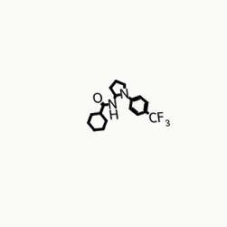 O=C(NC1CCCN1c1ccc(C(F)(F)F)cc1)C1CCCCC1